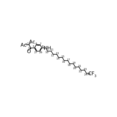 CC(=O)C(C(C)=O)C(=O)c1ccc(NCCCCCCCCCCCCCCCC(F)(F)F)cc1